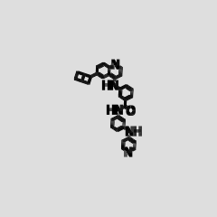 O=C(Nc1cccc(Nc2ccncc2)c1)c1cccc(Nc2ccnc3ccc(C4CC5CCC54)cc23)c1